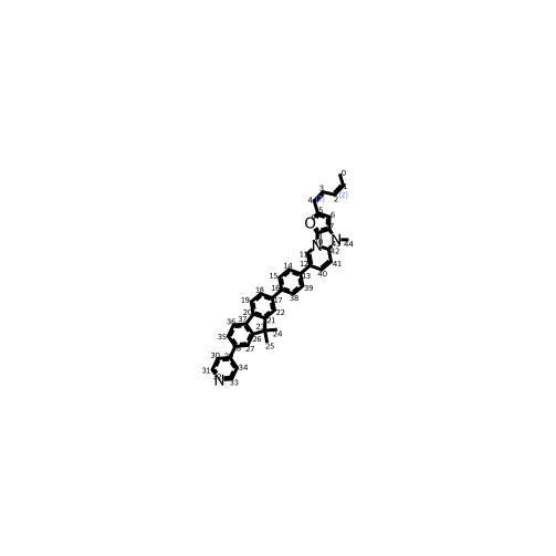 C/C=C\C=C/c1cc2c(o1)N1C=C(c3ccc(-c4ccc5c(c4)C(C)(C)c4cc(-c6ccncc6)ccc4-5)cc3)C=CC1N2C